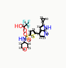 O=C(O)C(F)(F)F.O=S(=O)(NC1CCOCC1)c1ccc(-c2ccnc3[nH]c(C4CC4)cc23)s1